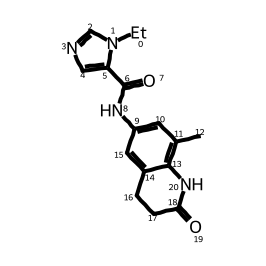 CCn1cncc1C(=O)Nc1cc(C)c2c(c1)CCC(=O)N2